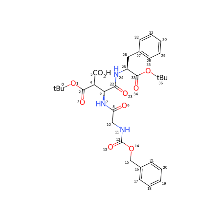 CC(C)(C)OC(=O)C(C(=O)O)[C@H](NC(=O)CNC(=O)OCc1ccccc1)C(=O)N[C@@H](Cc1ccccc1)C(=O)OC(C)(C)C